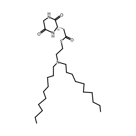 CCCCCCCCCCN(CCCCCCCCCC)CCSC(=O)C[C@@H]1NC(=O)CNC1=O